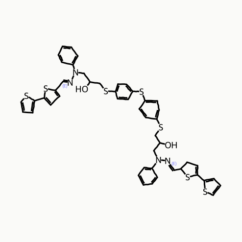 OC(CSc1ccc(Sc2ccc(SCC(O)CN(/N=C/C3CC=C(c4cccs4)S3)c3ccccc3)cc2)cc1)CN(/N=C/c1ccc(-c2cccs2)s1)c1ccccc1